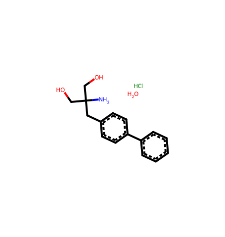 Cl.NC(CO)(CO)Cc1ccc(-c2ccccc2)cc1.O